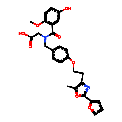 COc1ccc(O)cc1C(=O)N(CC(=O)O)Cc1ccc(OCCc2nc(-c3ccco3)oc2C)cc1